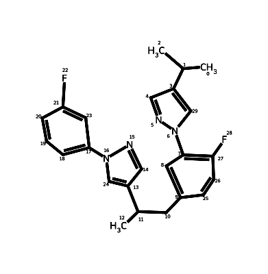 CC(C)c1cnn(-c2cc(CC(C)c3cnn(-c4cccc(F)c4)c3)ccc2F)c1